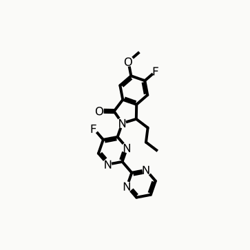 CCCC1c2cc(F)c(OC)cc2C(=O)N1c1nc(-c2ncccn2)ncc1F